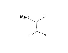 COC(F)C(F)F